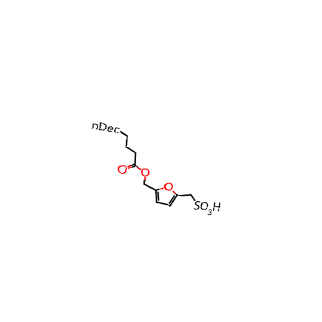 CCCCCCCCCCCCCC(=O)OCc1ccc(CS(=O)(=O)O)o1